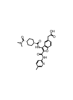 Cc1ccc(NC(=O)c2oc3ccc(CC(=O)O)cc3c2NC(=O)[C@H]2CC[C@H](C(=O)N(C)C)CC2)nc1